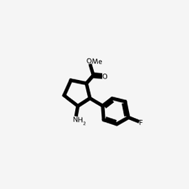 COC(=O)C1CCC(N)C1c1ccc(F)cc1